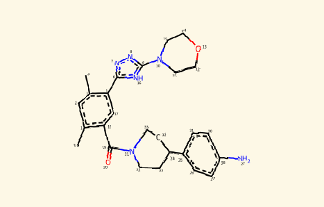 Cc1cc(C)c(-c2nnc(N3CCOCC3)[nH]2)cc1C(=O)N1CCC(c2ccc(N)cc2)CC1